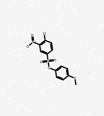 COc1ccc(OS(=O)(=O)c2ccc(Cl)c([N+](=O)[O-])c2)cc1